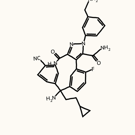 N#Cc1ccc(C(N)(CCC2CC2)c2ccc(F)c(-c3c(C(N)=O)nn(-c4cccc(CN)c4)c3C(N)=O)c2)cc1